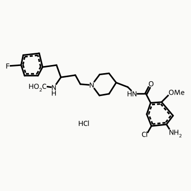 COc1cc(N)c(Cl)cc1C(=O)NCC1CCN(CCC(Cc2ccc(F)cc2)NC(=O)O)CC1.Cl